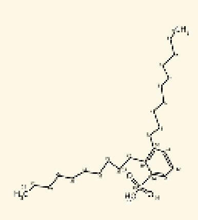 CCCCCCCCCCc1cccc(S(=O)(=O)O)c1CCCCCCCCCC